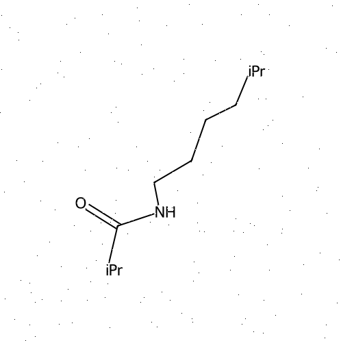 CC(C)CCCCNC(=O)C(C)C